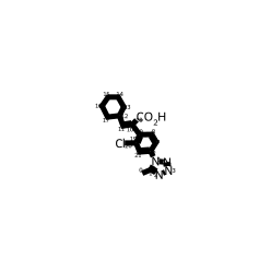 Cc1nnnn1-c1ccc(C(=CC2CCCCC2)C(=O)O)c(Cl)c1